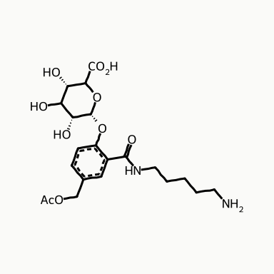 CC(=O)OCc1ccc(O[C@H]2OC(C(=O)O)[C@@H](O)C(O)[C@H]2O)c(C(=O)NCCCCCN)c1